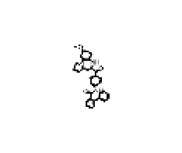 O=C(Nc1ccc(C(=O)C2C=C3C=CCN3C3=C(CC[C@@H](O)C3)N2)cc1)c1ccccc1-c1ccccc1